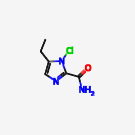 CCc1cnc(C(N)=O)n1Cl